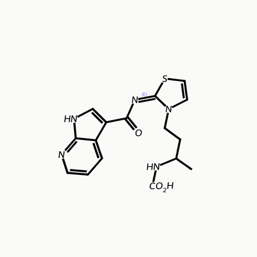 CC(CCn1ccs/c1=N/C(=O)c1c[nH]c2ncccc12)NC(=O)O